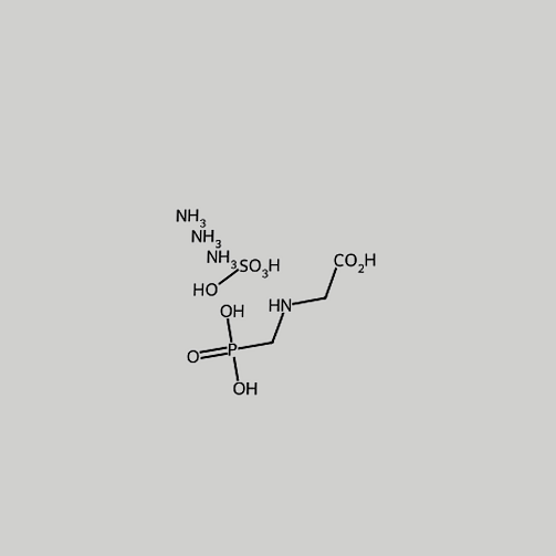 N.N.N.O=C(O)CNCP(=O)(O)O.O=S(=O)(O)O